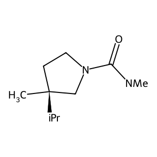 CNC(=O)N1CC[C@](C)(C(C)C)C1